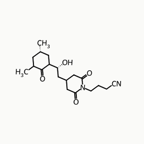 CC1C[C@H](C)CC([C@H](O)CC2CC(=O)N(CCCC#N)C(=O)C2)C1=O